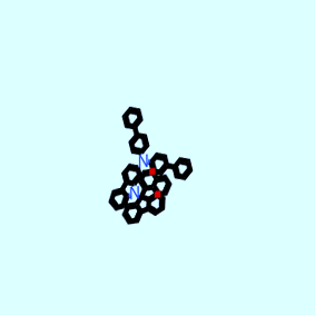 c1ccc(-c2ccc(N(c3ccc(-c4ccccc4)cc3)c3ccc4c5ccccc5n(C5(c6cccc7ccccc67)c6ccccc6-c6ccccc65)c4c3)cc2)cc1